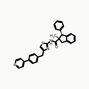 C[C@]1(C(=O)Nc2nc(Cc3ccc(-c4ccncc4)cc3)cs2)Cc2ccccc2[C@@H]1c1ccccc1